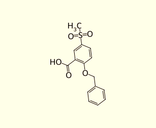 CS(=O)(=O)c1ccc(OCc2ccccc2)c(C(=O)O)c1